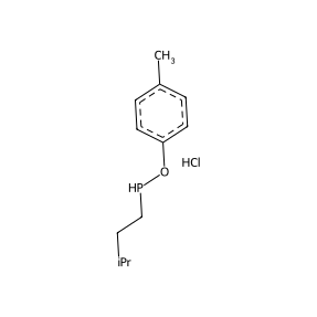 Cc1ccc(OPCCC(C)C)cc1.Cl